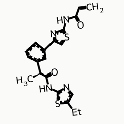 C=CC(=O)Nc1nc(-c2cccc([C@H](C)C(=O)Nc3ncc(CC)s3)c2)cs1